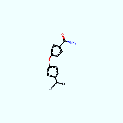 CCC(CC)c1ccc(Oc2ccc(C(N)=O)cc2)cc1